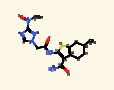 CO[N+](=O)c1ncn(CC(=O)Nc2sc3c(c2C(N)=O)CCC(C)C3)n1